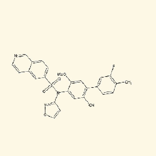 COc1cc(-c2ccc(C)c(F)c2)c(C#N)cc1N(c1ccon1)S(=O)(=O)c1ccc2cnccc2c1